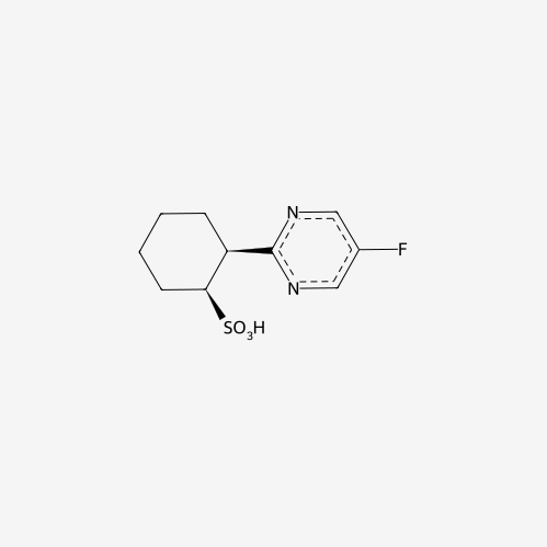 O=S(=O)(O)[C@H]1CCCC[C@H]1c1ncc(F)cn1